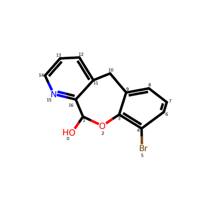 OC1Oc2c(Br)cccc2Cc2cccnc21